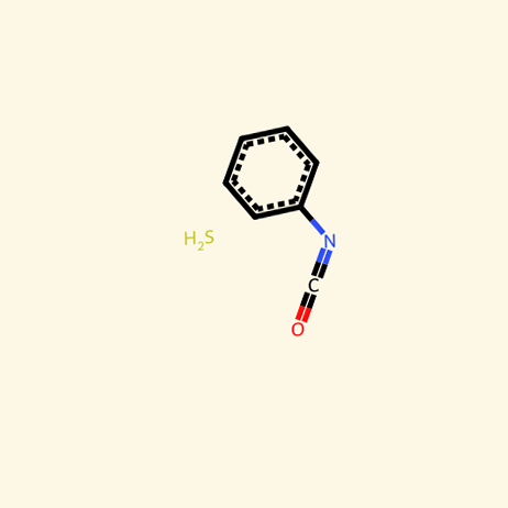 O=C=Nc1ccccc1.S